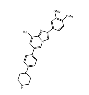 COc1ccc(-c2cn3cc(-c4ccc(N5CCNCC5)cc4)cc(C)c3n2)cc1OC